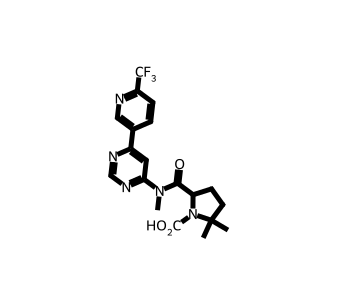 CN(C(=O)C1CCC(C)(C)N1C(=O)O)c1cc(-c2ccc(C(F)(F)F)nc2)ncn1